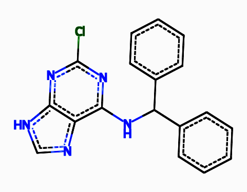 Clc1nc(NC(c2ccccc2)c2ccccc2)c2nc[nH]c2n1